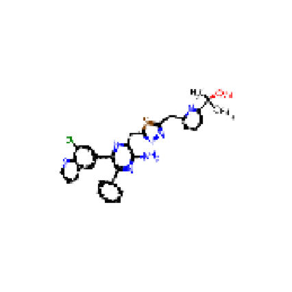 CC(C)(O)c1cccc(Cc2nnc(Cc3nc(-c4cc(Cl)c5ncccc5c4)c(-c4ccccc4)nc3N)s2)n1